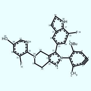 Cc1c#ccc(OCC(C)C)c1-n1nc2c(c1-c1cc(F)c3[nH]ccc3c1)CN(c1ncc(O)cc1F)CC2